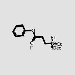 CCCCCCCCCC[N+](CC)(CC)CCC(=O)Oc1ccccc1.[I-]